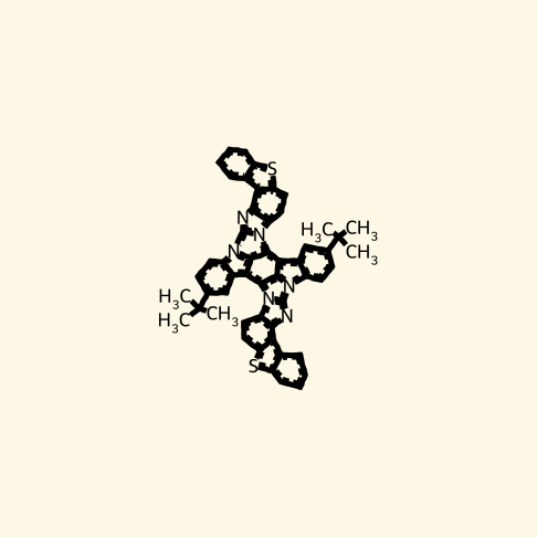 CC(C)(C)c1ccc2c(c1)c1c3c(c4c5cc(C(C)(C)C)ccc5n5c4c1n1c4ccc6sc7ccccc7c6c4nc51)n1c4ccc5sc6ccccc6c5c4nc1n23